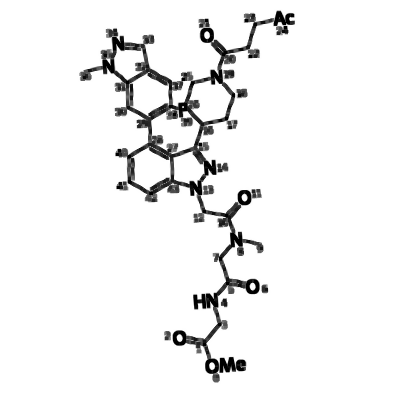 COC(=O)CNC(=O)CN(C)C(=O)Cn1nc(C2CCN(C(=O)CCC(C)=O)CC2)c2c(-c3cc4c(cnn4C)cc3F)cccc21